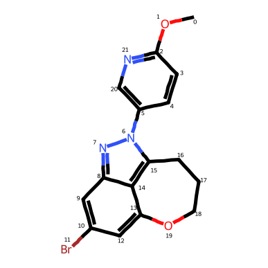 COc1ccc(-n2nc3cc(Br)cc4c3c2CCCO4)cn1